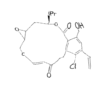 C=Cc1cc(O)c2c(c1Cl)CC(=O)/C=C/CCC1OC1C[C@@H](C(C)C)OC2=O